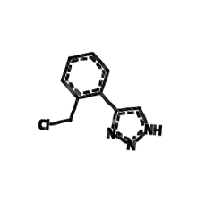 ClCc1ccccc1-c1c[nH]nn1